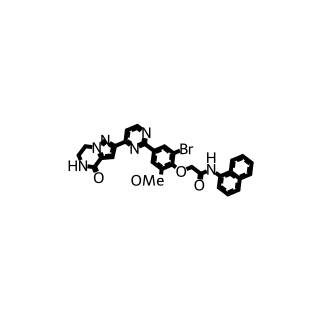 COc1cc(-c2nccc(-c3cc4n(n3)CCNC4=O)n2)cc(Br)c1OCC(=O)Nc1cccc2ccccc12